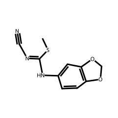 CS/C(=N\C#N)Nc1ccc2c(c1)OCO2